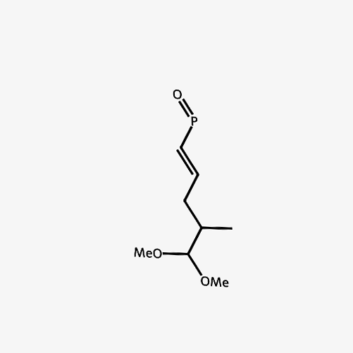 COC(OC)C(C)CC=CP=O